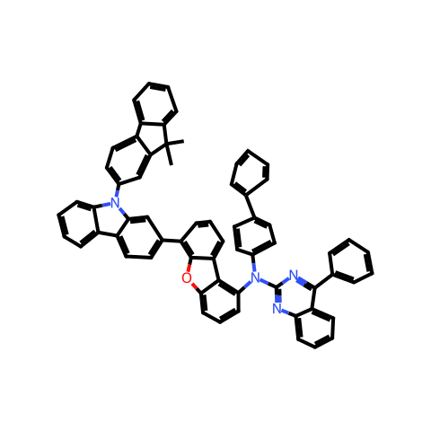 CC1(C)c2ccccc2-c2ccc(-n3c4ccccc4c4ccc(-c5cccc6c5oc5cccc(N(c7ccc(-c8ccccc8)cc7)c7nc(-c8ccccc8)c8ccccc8n7)c56)cc43)cc21